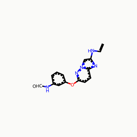 C=CNc1cn2nc(Oc3cccc(NC=O)c3)ccc2n1